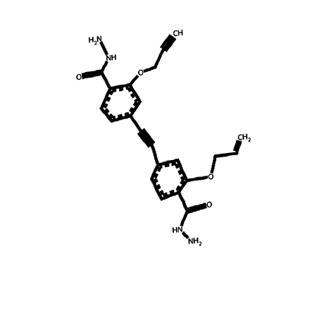 C#CCOc1cc(C#Cc2ccc(C(=O)NN)c(OCC=C)c2)ccc1C(=O)NN